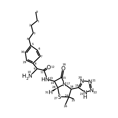 CCCCCc1ccc(C(N)C(=O)NC2C(=O)N3C(c4nnn[nH]4)C(C)(C)S[C@H]23)cc1